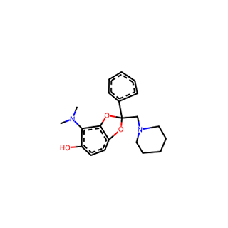 CN(C)c1c(O)ccc2c1OC(CN1CCCCC1)(c1ccccc1)O2